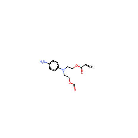 C=CC(=O)OCCN(CCOC=O)c1ccc(N)cc1